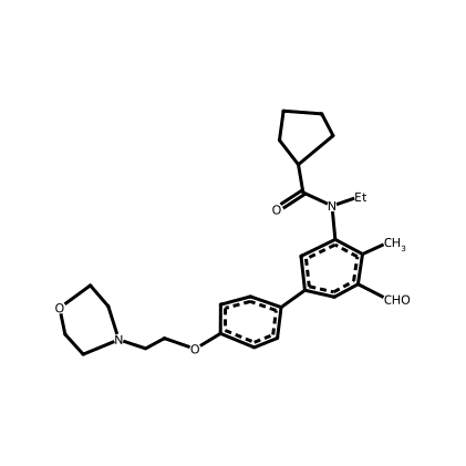 CCN(C(=O)C1CCCC1)c1cc(-c2ccc(OCCN3CCOCC3)cc2)cc(C=O)c1C